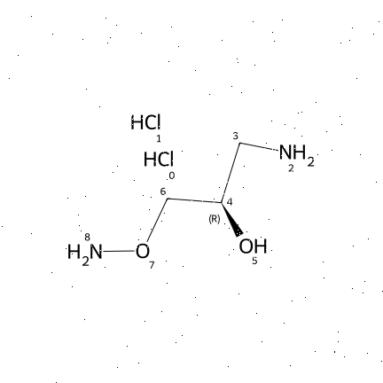 Cl.Cl.NC[C@@H](O)CON